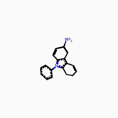 NC1C=Cc2c(c3c(n2-c2ccccc2)CCC=C3)C1